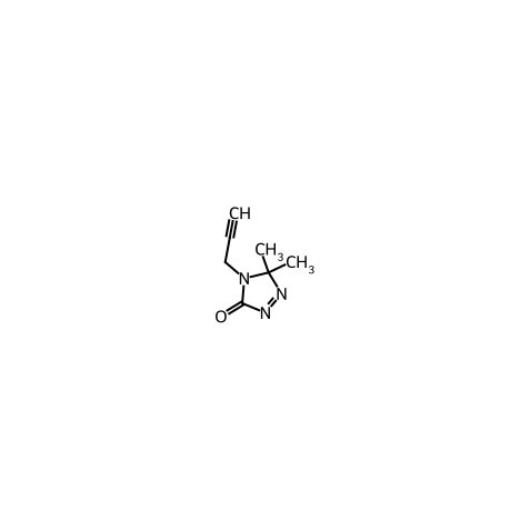 C#CCN1C(=O)N=NC1(C)C